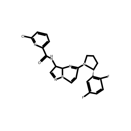 O=C(NC1C=NN2C=CC(N3CCC[C@@H]3c3cc(F)ccc3F)=NC12)c1cccc(Cl)n1